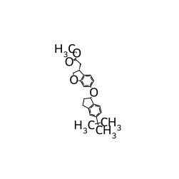 COC(=O)C[C@@H]1COc2cc(O[C@@H]3CCc4cc(C(C)(C)C)ccc43)ccc21